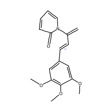 C=C(/C=C/c1cc(OC)c(OC)c(OC)c1)n1ccccc1=O